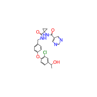 CC(O)c1ccc(Oc2ccc(CNC(=O)C3(NC(=O)c4cncnc4)CC3)cc2)c(Cl)c1